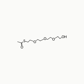 CC(=O)SCCOCCOCCOCCO